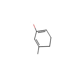 OC1=CCCC(C(F)(F)F)=C1